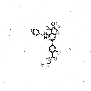 CCNC(=O)c1ccc(-c2cc3ncn(C)c(=O)c3c(NCc3ccncc3)n2)cc1Cl